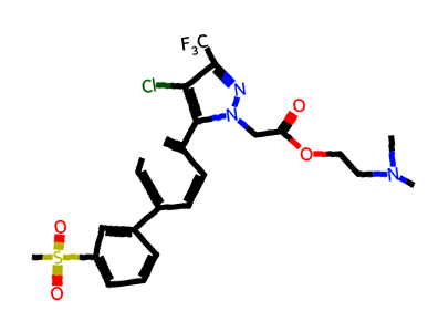 C=C(/C=C\C(=C/C)c1cccc(S(C)(=O)=O)c1)c1c(Cl)c(C(F)(F)F)nn1CC(=O)OCCN(C)C